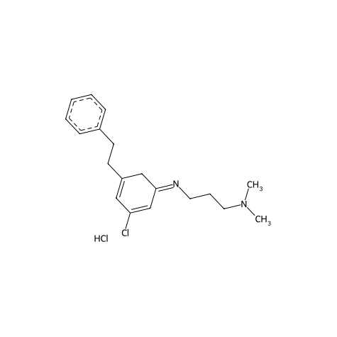 CN(C)CCCN=C1C=C(Cl)C=C(CCc2ccccc2)C1.Cl